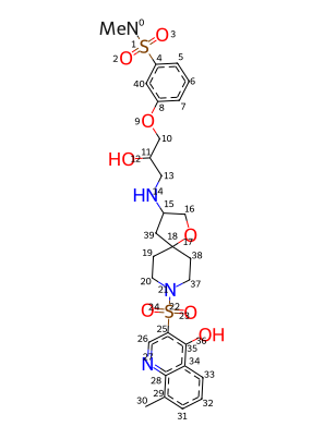 CNS(=O)(=O)c1cccc(OCC(O)CNC2COC3(CCN(S(=O)(=O)c4cnc5c(C)cccc5c4O)CC3)C2)c1